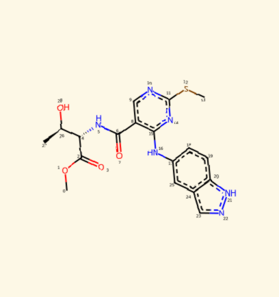 COC(=O)[C@@H](NC(=O)c1cnc(SC)nc1Nc1ccc2[nH]ncc2c1)[C@@H](C)O